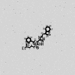 CCN(CC)CCCS(=O)(=O)N[C@H](CCc1ccccc1)c1nc(Cc2csc3ccccc23)n[nH]1